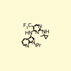 CC(C)n1cc(Nc2nc(NC3(C)CC3)ncc2C(F)(F)F)c2cccnc21